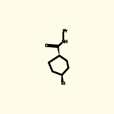 CC[C@H]1CC[C@H](C(=O)NC(C)C)CC1